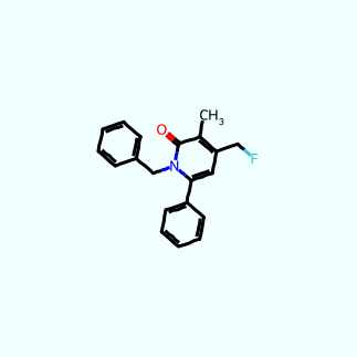 Cc1c(CF)cc(-c2ccccc2)n(Cc2ccccc2)c1=O